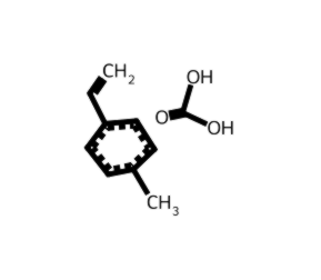 C=Cc1ccc(C)cc1.O=C(O)O